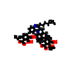 CCCCCC(=Nc1ccccc1)C(CCCC)=Nc1ccccc1.Cc1ccc(O)c(O)c1C(=O)[O-].Cc1ccc(O)c(O)c1C(=O)[O-].[Ni+2]